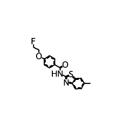 Cc1ccc2nc(NC(=O)c3ccc(OCCF)cc3)sc2c1